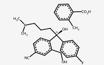 CN(C)CCC[C@](O)(c1ccc(F)cc1)c1ccc(C#N)cc1CO.Cc1ccccc1C(=O)O